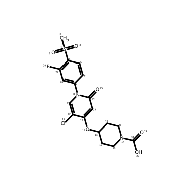 CS(=O)(=O)c1ccc(-n2cc(Cl)c(OC3CCN(C(=O)O)CC3)cc2=O)cc1F